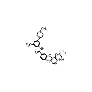 CC1CNc2ncnc(Oc3cc(C(=O)Nc4cc(N5CCN(C)CC5)cc(C(F)(F)F)c4)ccc3Cl)c2O1